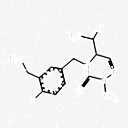 CCc1cc(CNC(/C=N\N(C)C=O)C(C)Cl)ccc1F